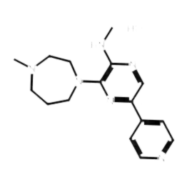 CNc1ncc(-c2ccncc2)nc1N1CCCN(C)CC1.Cl